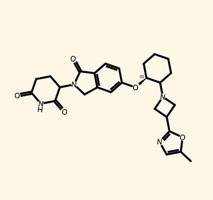 Cc1cnc(C2CN(C3CCCC[C@@H]3Oc3ccc4c(c3)CN(C3CCC(=O)NC3=O)C4=O)C2)o1